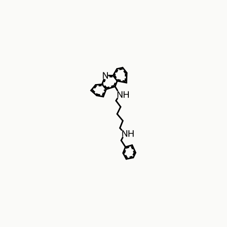 c1ccc(CNCCCCCNc2c3ccccc3nc3ccccc23)cc1